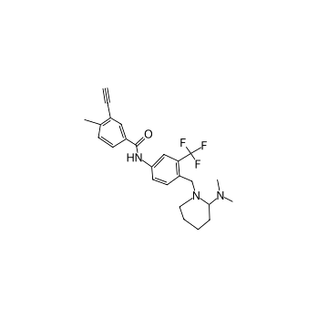 C#Cc1cc(C(=O)Nc2ccc(CN3CCCCC3N(C)C)c(C(F)(F)F)c2)ccc1C